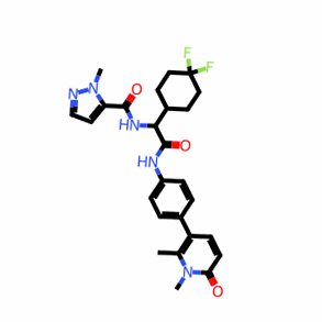 Cc1c(-c2ccc(NC(=O)C(NC(=O)c3ccnn3C)C3CCC(F)(F)CC3)cc2)ccc(=O)n1C